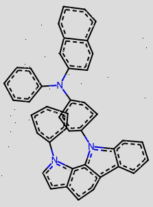 c1ccc(N(c2ccc(-n3c4ccccc4c4ccc5ccn(-c6ccccc6)c5c43)cc2)c2ccc3ccccc3c2)cc1